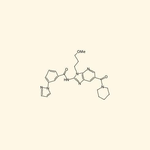 COCCCn1c(NC(=O)c2cccc(-n3cccn3)c2)nc2cc(C(=O)N3CCCCC3)cnc21